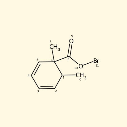 CC1C=CC=CC1(C)C(=O)OBr